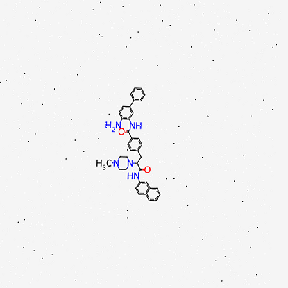 CN1CCN(C(Cc2ccc(C(=O)Nc3cc(-c4ccccc4)ccc3N)cc2)C(=O)Nc2ccc3ccccc3c2)CC1